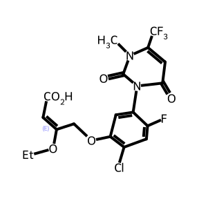 CCO/C(=C/C(=O)O)COc1cc(-n2c(=O)cc(C(F)(F)F)n(C)c2=O)c(F)cc1Cl